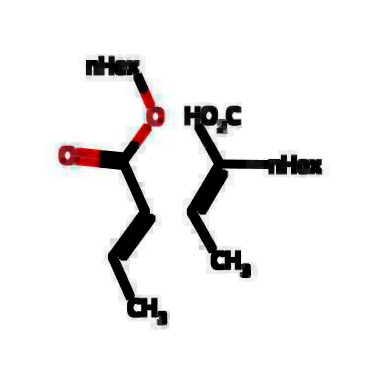 C/C=C(\CCCCCC)C(=O)O.C/C=C/C(=O)OCCCCCC